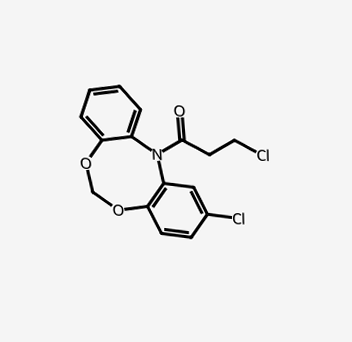 O=C(CCCl)N1c2ccccc2OCOc2ccc(Cl)cc21